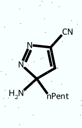 CCCCCC1(N)[C]=C(C#N)N=N1